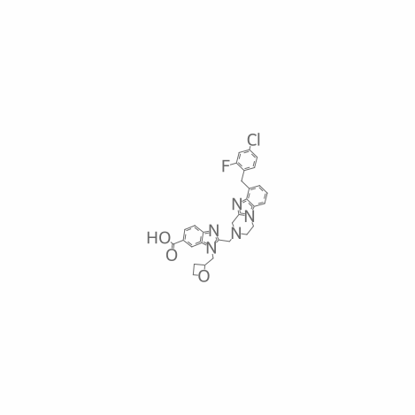 O=C(O)c1ccc2nc(CN3CCn4c(nc5c(Cc6ccc(Cl)cc6F)cccc54)C3)n(CC3CCO3)c2c1